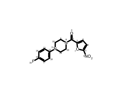 O=C(c1ccc([N+](=O)[O-])o1)N1CCN(c2ccc(F)cc2)CC1